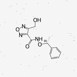 C[C@@H](ONC(=O)c1nonc1CO)c1ccccc1